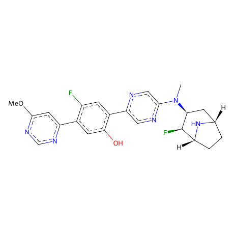 COc1cc(-c2cc(O)c(-c3cnc(N(C)[C@H]4C[C@@H]5CC[C@@H](N5)[C@H]4F)cn3)cc2F)ncn1